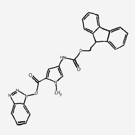 Cn1cc(NC(=O)OCC2c3ccccc3-c3ccccc32)cc1C(=O)On1nnc2ccccc21